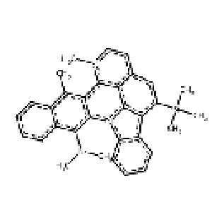 Cc1c2ccccc2c(N(C)C)c2c1c1c3c(cc[n+]1C)cc([Si](C)(C)C)c1c4ccccc4n2c13